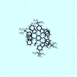 CC(C)(C)c1ccc2c(c1)c1ccccc1n2-c1c(C#N)c(-n2c3ccccc3c3cc(C(C)(C)C)ccc32)c(-n2c3ccccc3c3cc(C(C)(C)C)ccc32)c(-n2c3ccccc3c3cc(C(C)(C)C)ccc32)c1-c1nc2ccccc2n1-c1ccccc1